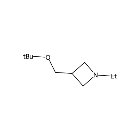 CCN1CC(COC(C)(C)C)C1